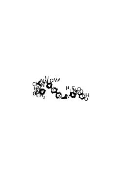 COc1cc(N2CCC(C3CCN(CC4CN(c5ccc6c(c5)n(C)c(=O)n6C5CCC(=O)NC5=O)C4)CC3)CC2)ccc1Nc1ncc(Cl)c(Nc2ccccc2P(C)(C)=O)n1